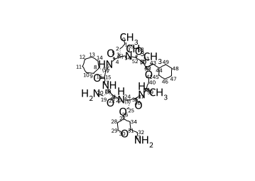 CCC[C@H]1C(=O)N[C@@H](C2CCCCCC2)C(=O)N[C@@H](CN)C(=O)N[C@@H](COC2CCOC(CN)C2)C(=O)N[C@H](C)CO[C@H](CC2CCCCC2)[C@@H](C)C(=O)N1C